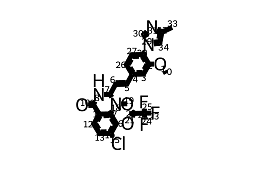 COc1cc(C=CC2NC(=O)c3ccc(Cl)cc3N2OC(=O)C(F)(F)F)ccc1-n1cnc(C)c1